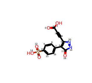 O=C(O)C#CC1=C(c2ccc(S(=O)(=O)O)cc2)C(=O)N=N1